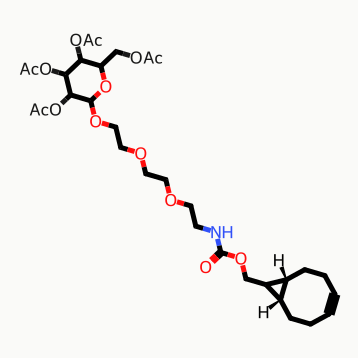 CC(=O)OCC1OC(OCCOCCOCCNC(=O)OCC2[C@H]3CCC#CCC[C@@H]23)C(OC(C)=O)C(OC(C)=O)C1OC(C)=O